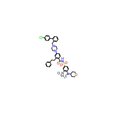 CN(c1ccc(S(=O)(=O)NC(=O)c2ccc(N3CCN(Cc4ccccc4-c4ccc(Cl)cc4)CC3)cc2CCc2ccccc2)cc1[N+](=O)[O-])C1CCOCC1